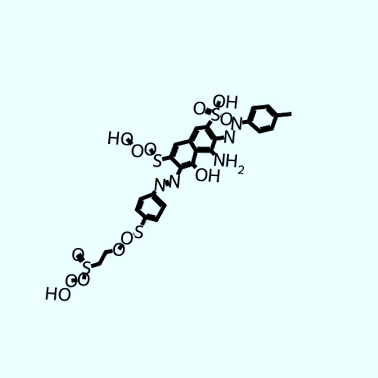 Cc1ccc(N=Nc2c(S(=O)(=O)O)cc3cc(SOOO)c(N=Nc4ccc(SOOCCS(=O)OOO)cc4)c(O)c3c2N)cc1